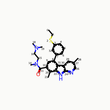 CCSc1cccc(-c2cc(C(=O)N(C)CCN(C)C)c(C)c3[nH]c4ncc(C)cc4c23)c1